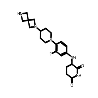 O=C1CCC(Nc2ccc(N3CCC(N4CC5(CNC5)C4)CC3)c(F)c2)C(=O)N1